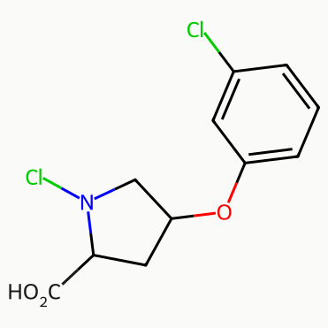 O=C(O)C1CC(Oc2cccc(Cl)c2)CN1Cl